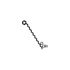 CC(O)CC(=O)CCCCCCCCCCCCCCc1ccccc1